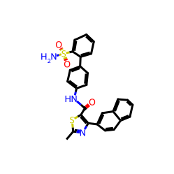 Cc1nc(-c2ccc3ccccc3c2)c(C(=O)Nc2ccc(-c3ccccc3S(N)(=O)=O)cc2)s1